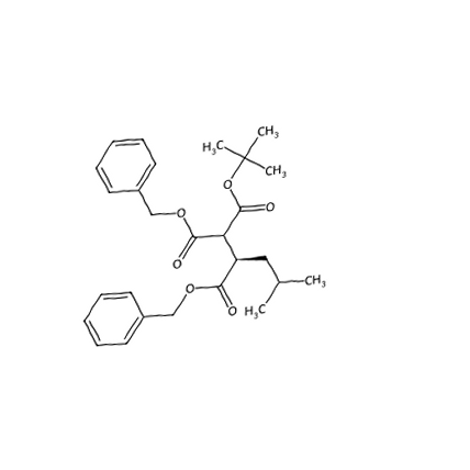 CC(C)C[C@@H](C(=O)OCc1ccccc1)C(C(=O)OCc1ccccc1)C(=O)OC(C)(C)C